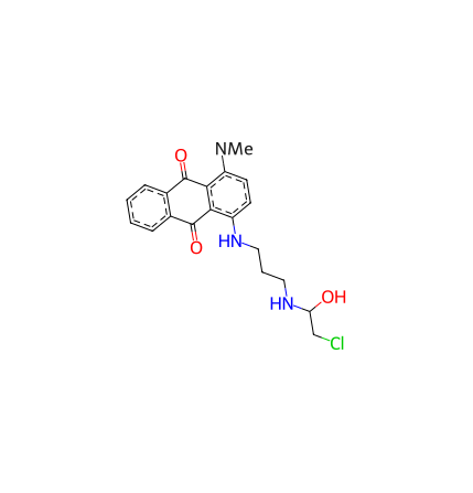 CNc1ccc(NCCCNC(O)CCl)c2c1C(=O)c1ccccc1C2=O